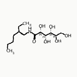 CCCCC(CC)CNC(=O)[C@H](O)[C@@H](O)[C@H](O)[C@H](O)CO